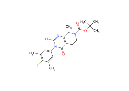 Cc1cc(-n2c(Cl)nc3c(c2=O)CCN(C(=O)OC(C)(C)C)[C@H]3C)cc(C)c1F